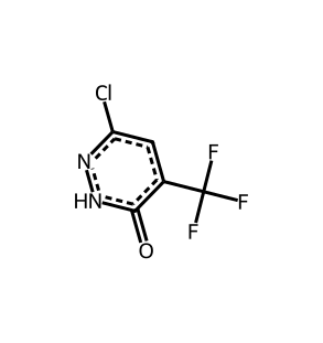 O=c1[nH]nc(Cl)cc1C(F)(F)F